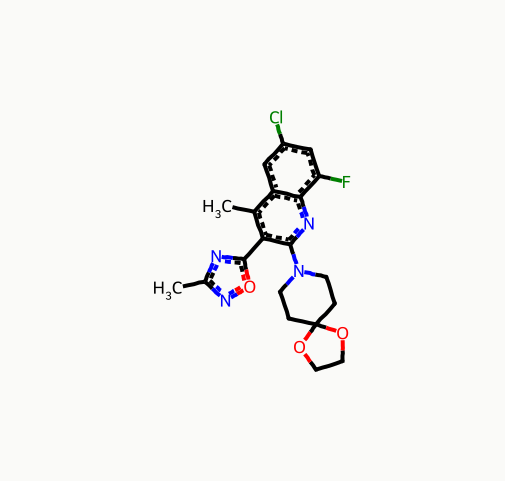 Cc1noc(-c2c(N3CCC4(CC3)OCCO4)nc3c(F)cc(Cl)cc3c2C)n1